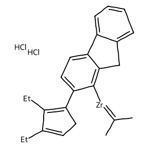 CCC1=CCC(c2ccc3c([c]2[Zr]=[C](C)C)Cc2ccccc2-3)=C1CC.Cl.Cl